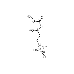 CC(C)(C)OC(=O)CC(=O)CCC1CC(=O)N1